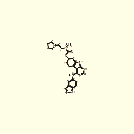 CN(CCN1CCCC1)C(=O)OC1CCc2c(sc3ncnc(Nc4ccc5[nH]ncc5c4)c23)C1